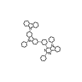 c1ccc(-c2nc(-c3cccc(-c4ccc5c(c4)c4cc(-n6c7ccccc7c7ccccc76)ccc4n5-c4ccccc4)c3)c3c(n2)c2ccccc2n3-c2ccccc2)cc1